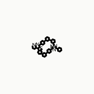 c1ccc(-c2ccc(-c3nc(-c4ccccc4)nc(-c4cccc(-c5cccc(-c6ccc(-c7nc8ncccc8c8c7sc7ccccc78)cc6)c5)c4)n3)cc2)cc1